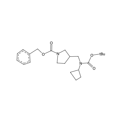 CC(C)(C)OC(=O)N(CC1CCN(C(=O)OCc2ccccc2)C1)C1CCC1